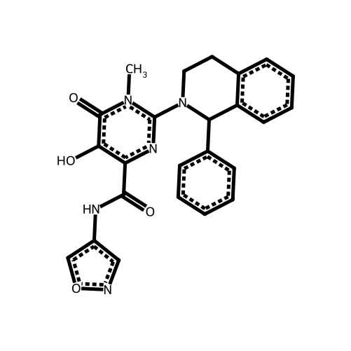 Cn1c(N2CCc3ccccc3C2c2ccccc2)nc(C(=O)Nc2cnoc2)c(O)c1=O